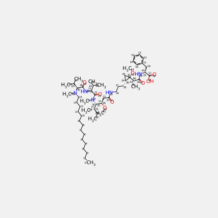 CCCCCCCCCCCCCCCN(C)[C@H](C(=O)N[C@H](C(=O)N(C)[C@@H]([C@@H](C)CC)[C@@H](CC(=O)NCCC[C@@H]1C[C@@]1(OC)[C@@H](C)C(=O)N[C@@H](Cc1ccccc1)C(=O)O)OC)C(C)C)C(C)C